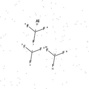 FC(F)F.FC(F)F.FC(F)F.[Al]